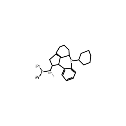 CC(C)P(C(C)C)[C@@H](C)C1CCCC1c1ccccc1P(C1CCCCC1)C1CCCCC1